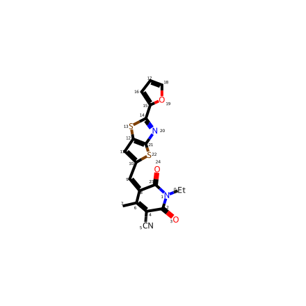 CCN1C(=O)C(C#N)=C(C)/C(=C/c2cc3sc(-c4ccco4)nc3s2)C1=O